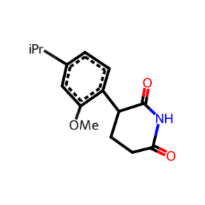 COc1cc(C(C)C)ccc1C1CCC(=O)NC1=O